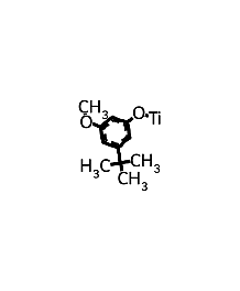 COc1cc([O][Ti])cc(C(C)(C)C)c1